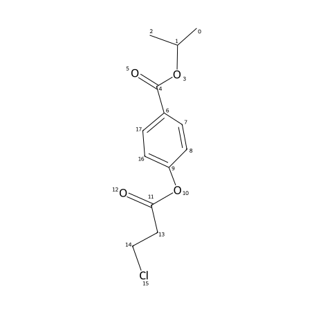 CC(C)OC(=O)c1ccc(OC(=O)CCCl)cc1